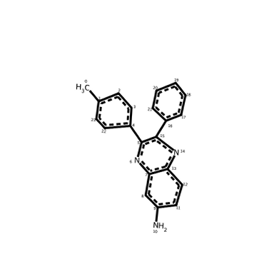 Cc1ccc(-c2nc3cc(N)ccc3nc2-c2ccccc2)cc1